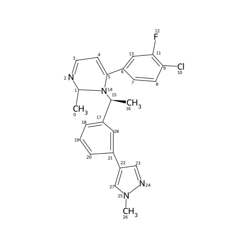 CC1N=CC=C(c2ccc(Cl)c(F)c2)N1[C@@H](C)c1cccc(-c2cnn(C)c2)c1